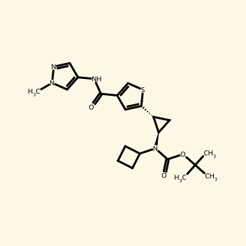 Cn1cc(NC(=O)c2csc([C@@H]3C[C@H]3N(C(=O)OC(C)(C)C)C3CCC3)c2)cn1